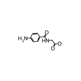 Nc1ccc(C(=O)NCC([O])=O)cc1